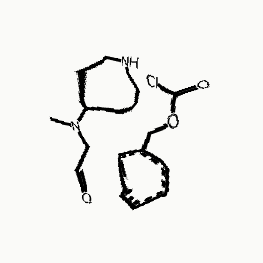 CN(CC=O)C1CCNCC1.O=C(Cl)OCc1ccccc1